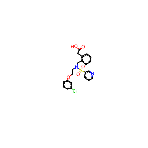 O=C(O)Cc1ccccc1CN(CCOc1cccc(Cl)c1)S(=O)(=O)c1cccnc1